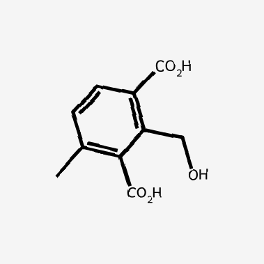 Cc1ccc(C(=O)O)c(CO)c1C(=O)O